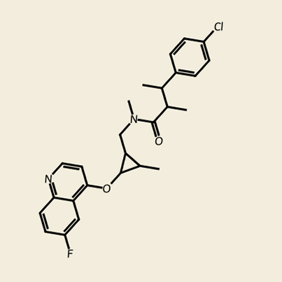 CC(C(=O)N(C)CC1C(C)C1Oc1ccnc2ccc(F)cc12)C(C)c1ccc(Cl)cc1